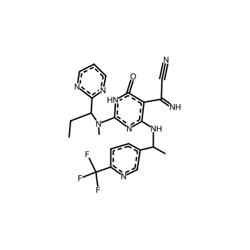 CCC(c1ncccn1)N(C)c1nc(NC(C)c2ccc(C(F)(F)F)nc2)c(C(=N)C#N)c(=O)[nH]1